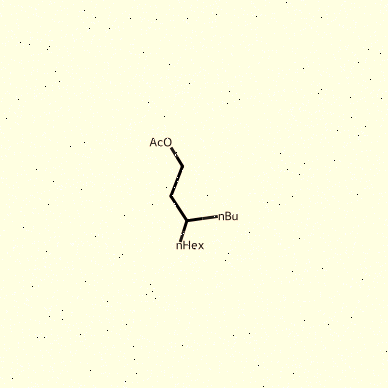 CCCCCCC(CCCC)CCOC(C)=O